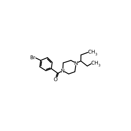 CCC(CC)N1CCN(C(=O)c2ccc(Br)cc2)CC1